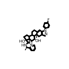 C[C@@H](NC(=O)[C@@]1(O)CCC2C3CCC4=Cc5c(cnn5-c5ccc(F)cc5)C[C@]4(C)C3[C@@H](O)C[C@@]21C)c1ccccn1